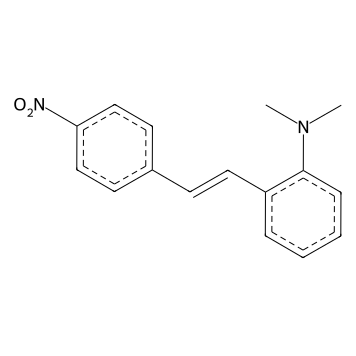 CN(C)c1ccccc1C=Cc1ccc([N+](=O)[O-])cc1